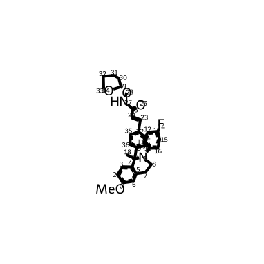 COc1ccc2c(c1)CCN(c1ccc(F)cc1)C2(C)c1ccc(C=CC(=O)NOC2CCCCO2)cc1